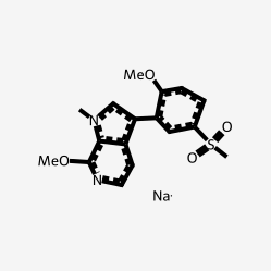 COc1ccc(S(C)(=O)=O)cc1-c1cn(C)c2c(OC)nccc12.[Na]